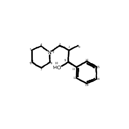 CC(CN1CCCCC1)C(O)c1ccccc1